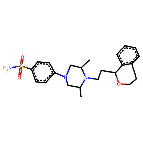 CC1CN(c2ccc(S(N)(=O)=O)cc2)CC(C)N1CCC1OCCc2ccccc21